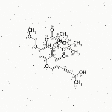 COCOc1cc2occ(C#CC(C)O)c(=O)c2c(C(=O)OC(C)(C)C)c1OC(=O)C(C)(C)C